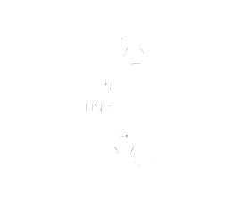 CS(=O)(=O)c1ccc(OC[C@H]2CN(CCc3cccc(Cl)c3)CCN2)cc1